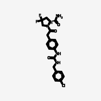 NC(=O)[C@H]1CC(F)(F)CN1C(=O)Cc1ccc(NC(=O)NCc2ccc(Cl)cc2)cc1